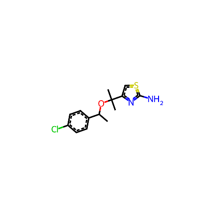 CC(OC(C)(C)c1csc(N)n1)c1ccc(Cl)cc1